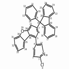 Clc1ccc(-c2cc(C3(c4ccccc4)c4ccccc4-c4ccccc43)cc3oc4ccccc4c23)cn1